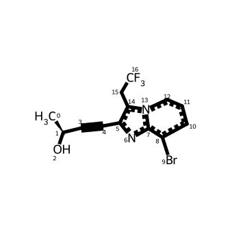 C[C@H](O)C#Cc1nc2c(Br)cccn2c1CC(F)(F)F